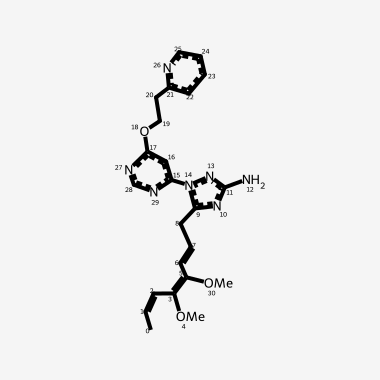 C\C=C/C(OC)=C(\C=C\Cc1nc(N)nn1-c1cc(OCCc2ccccn2)ncn1)OC